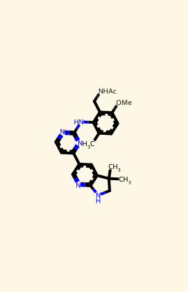 COc1ccc(C)c(Nc2nccc(-c3cnc4c(c3)C(C)(C)CN4)n2)c1CNC(C)=O